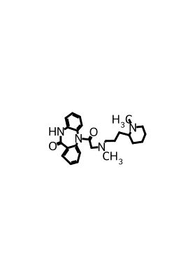 CN(CCCC1CCCCN1C)CC(=O)N1c2ccccc2NC(=O)c2ccccc21